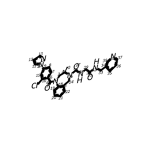 C[C@@H]1CN(C(=O)c2ccc(-n3cccn3)cc2Cl)c2ccccc2CN1C(=O)NCC(=O)NCc1cccnc1